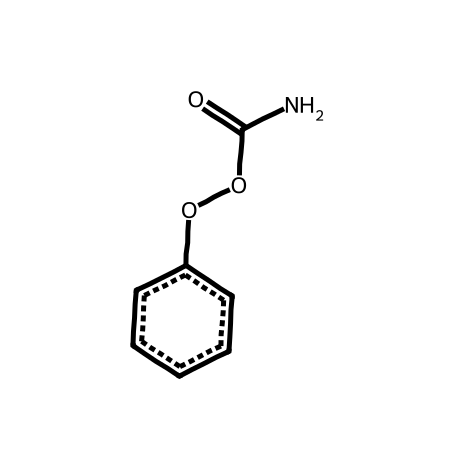 NC(=O)OOc1ccccc1